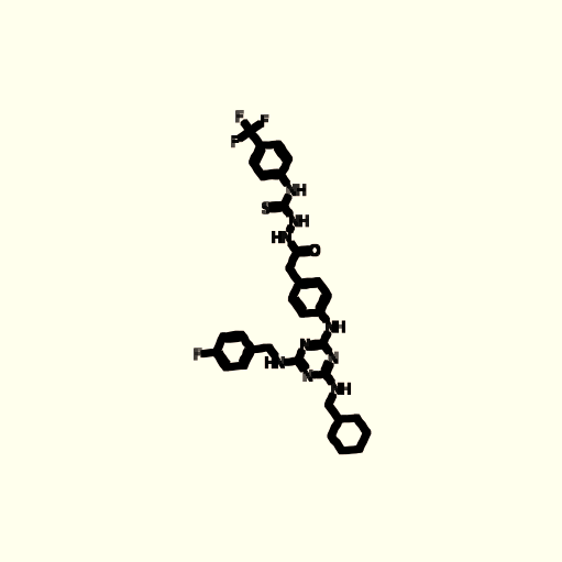 O=C(Cc1ccc(Nc2nc(NCc3ccc(F)cc3)nc(NCC3CCCCC3)n2)cc1)NNC(=S)Nc1ccc(C(F)(F)F)cc1